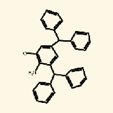 Nc1c(Cl)cc(C(c2ccccc2)c2ccccc2)cc1C(c1ccccc1)c1ccccc1